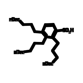 CCCCCCCCCCCCCc1ccc(S(=O)(=O)O)c(CCCCCCCCCCCCC)c1CCCCCCCCCCCCC